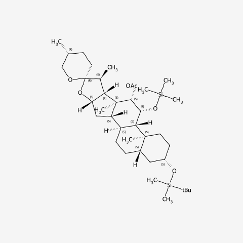 CC(=O)O[C@@H]1[C@H](O[Si](C)(C)C)[C@H]2[C@@H](CC[C@H]3C[C@@H](O[Si](C)(C)C(C)(C)C)CC[C@@]32C)[C@@H]2C[C@@H]3O[C@]4(CC[C@@H](C)CO4)[C@@H](C)[C@@H]3[C@@]12C